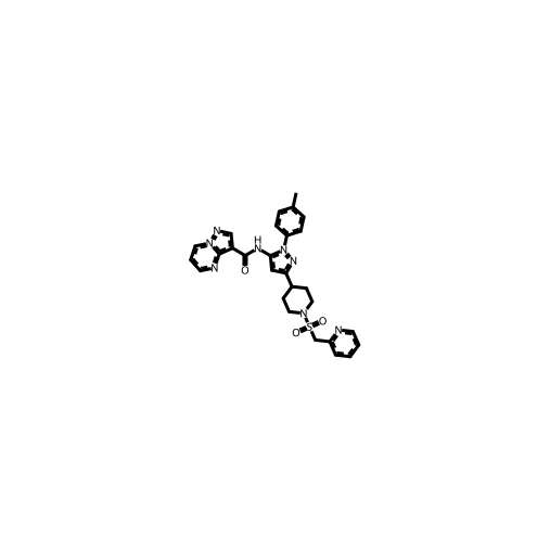 Cc1ccc(-n2nc(C3CCN(S(=O)(=O)Cc4ccccn4)CC3)cc2NC(=O)c2cnn3cccnc23)cc1